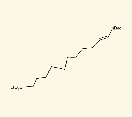 CCCCCCCCCCC=CCCCCCCCCCC(=O)OCC